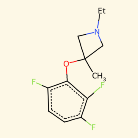 CCN1CC(C)(Oc2c(F)ccc(F)c2F)C1